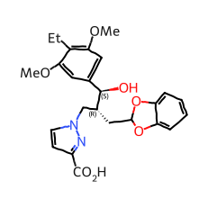 CCc1c(OC)cc([C@@H](O)[C@H](CC2Oc3ccccc3O2)Cn2ccc(C(=O)O)n2)cc1OC